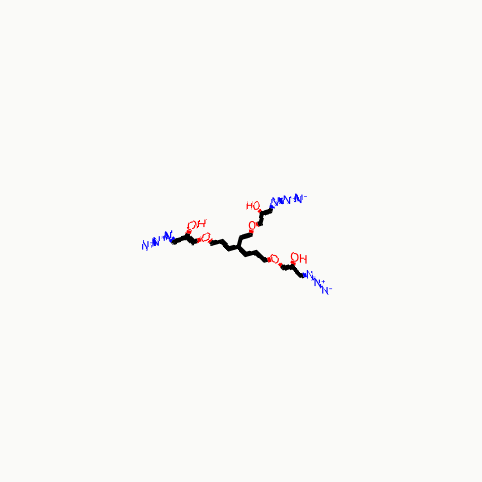 [N-]=[N+]=NCC(O)COCCCC(CCCOCC(O)CN=[N+]=[N-])CCOCC(O)CN=[N+]=[N-]